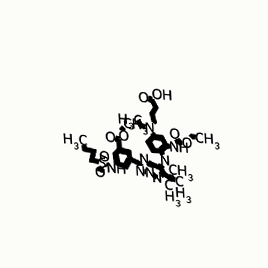 CCCCS(=O)(=O)Nc1cc(C(=O)OCC)cc(-c2nc3n(n2)N=C(C(C)(C)C)/C3=N/c2ccc(N(CC)CCCC(=O)O)cc2NC(=O)OCC)c1